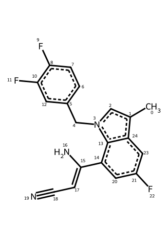 Cc1cn(Cc2ccc(F)c(F)c2)c2c(C(N)=CC#N)cc(F)cc12